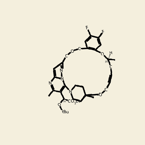 CCOC(=O)[C@@H](OC(C)(C)C)c1c(C)nc2cc3nn2c1N1CCC(C)(CC1)OCC=CC[C@H](C)Oc1cc(F)c(F)cc1COC3